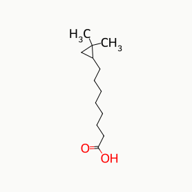 CC1(C)CC1CCCCCCCC(=O)O